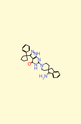 N[C@@H]1c2ccccc2CC12CCN(c1nc3[nH]nc(C4(c5ccccc5)CCCC4)c3c(=O)[nH]1)CC2